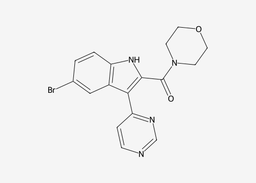 O=C(c1[nH]c2ccc(Br)cc2c1-c1ccncn1)N1CCOCC1